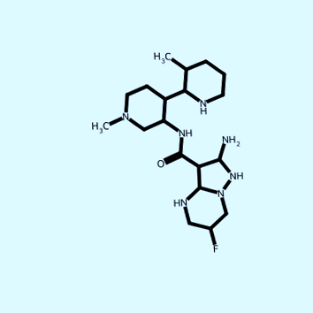 CC1CCCNC1C1CCN(C)CC1NC(=O)C1C(N)NN2CC(F)CNC12